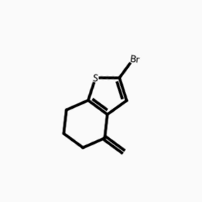 C=C1CCCc2sc(Br)cc21